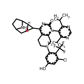 CC(C)c1ncnc(C(C)C)c1-n1c2c(c(C3C4CC5CCC(N5)[C@H]43)nc1=O)CCN(c1cc(O)cc(Cl)c1C(F)(F)F)C2